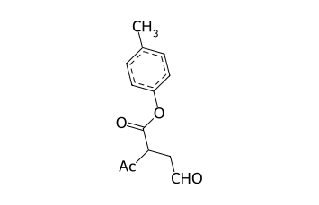 CC(=O)C(CC=O)C(=O)Oc1ccc(C)cc1